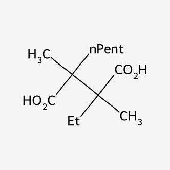 [CH2]CC(C)(C(=O)O)C(C)(CCCCC)C(=O)O